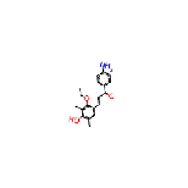 CCOc1c(/C=C/C(=O)c2ccc(N)cc2)cc(C)c(O)c1C